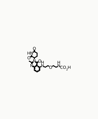 Cc1nc2cccc(NCCOCCNC(=O)O)c2c(=O)n1C1CCC(=O)NC1=O